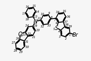 Brc1ccc2sc3c(-c4ccc(N(c5ccccc5)c5ccc6c(c5)oc5ccccc56)cc4)cccc3c2c1